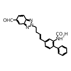 O=Cc1ccc2nn(CC/C=C/c3ccc(-c4ccccc4)c(NC(=O)O)c3)nc2c1